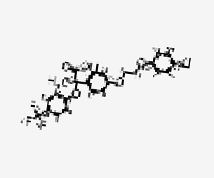 CC(Oc1ccc(C(F)(F)F)cc1)(C(=O)O)c1ccc(OCCOc2ccc(Cl)cc2)cc1